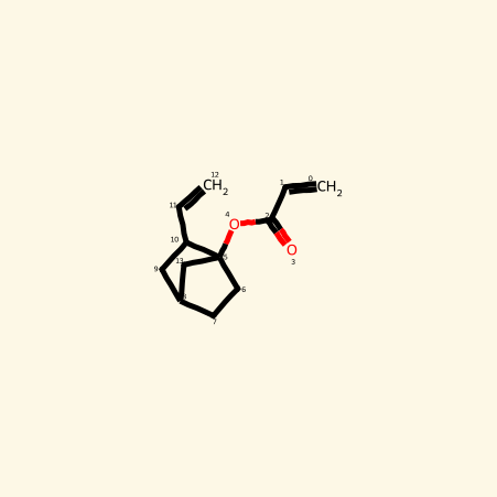 C=CC(=O)OC12CCC(CC1C=C)C2